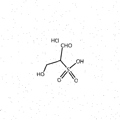 Cl.O=CC(CO)S(=O)(=O)O